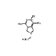 CC(=O)NC[C@H]1CC2=C(C(C)(C)C)[C@H](C(C)C)N=C(C(C)(C)C)N2C1